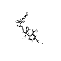 Cc1ccc(S(=O)(=O)CCNS(=O)(=O)N=C=O)c(C)c1